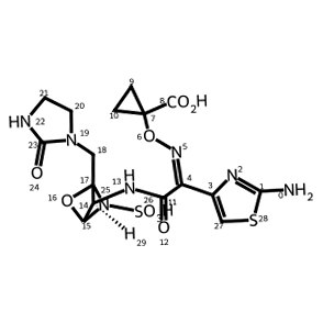 Nc1nc(/C(=N/OC2(C(=O)O)CC2)C(=O)N[C@H]2C3OC2(CN2CCNC2=O)N3S(=O)(=O)O)cs1